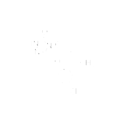 CC(C)c1cc(Cl)ccc1OCc1n[nH]c(=O)n1C